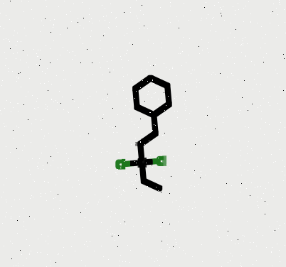 CC[Si](Cl)(Cl)[CH]CC1CCCCC1